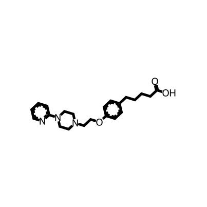 O=C(O)CCCCc1ccc(OCCN2CCN(c3ccccn3)CC2)cc1